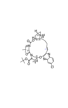 C[C@@H]1[C@@H]2CN(C(=O)[C@H](C(C)(C)C)NC(=O)O[C@@H]3C[C@@H]4C[C@@H]4[C@H]3CCC/C=C/c3nc4ccc(Cl)cc4nc3O2)[C@@H]1C(=O)OC(C)(C)C